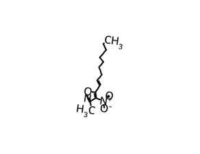 CCCCCCC/C=C/c1onc(C)c1[N+](=O)[O-]